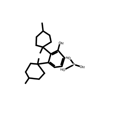 CC1CCC(C)(c2cccc(O)c2C2(C)CCC(C)CC2)CC1.OP(O)O